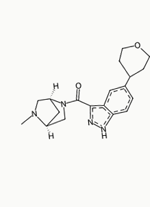 CN1C[C@@H]2C[C@H]1CN2C(=O)c1n[nH]c2ccc(C3CCOCC3)cc12